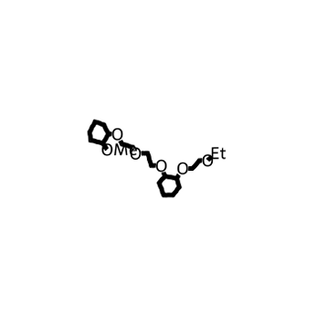 CCOCCOC1CCCCC1OCCOCCOC1CCCCC1OC